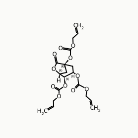 C=CCOC(=O)O[C@@H]1[C@H](OC(=O)OCC=C)C[C@]2(OC(=O)OCC=C)C[C@H]1OC2=O